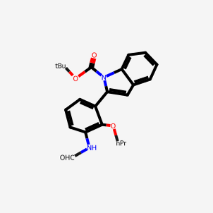 CCCOc1c(NC=O)cccc1-c1cc2ccccc2n1C(=O)OC(C)(C)C